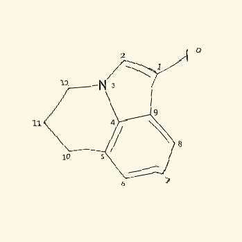 Ic1cn2c3c(cccc13)CCC2